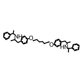 CC(Cc1ccc(OCCCCCCOc2ccc(CC(C)NC(C)c3ccccc3)cc2)cc1)NC(C)c1ccccc1